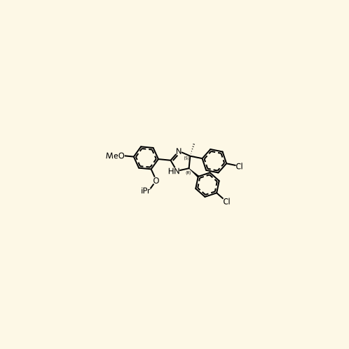 COc1ccc(C2=N[C@@](C)(c3ccc(Cl)cc3)[C@@H](c3ccc(Cl)cc3)N2)c(OC(C)C)c1